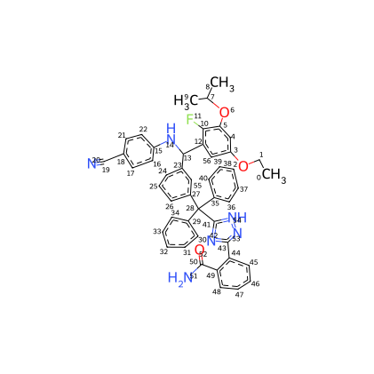 CCOc1cc(OC(C)C)c(F)c(C(Nc2ccc(C#N)cc2)c2cccc(C(c3ccccc3)(c3ccccc3)c3nc(-c4ccccc4C(N)=O)n[nH]3)c2)c1